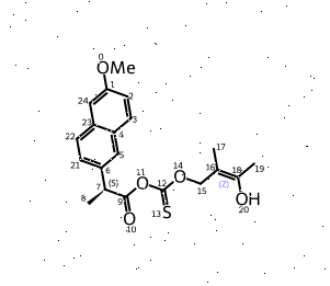 COc1ccc2cc([C@H](C)C(=O)OC(=S)OC/C(C)=C(/C)O)ccc2c1